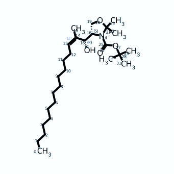 CCCCCCCCCCCCC/C=C(/C)[C@@H](O)[C@@H]1COC(C)(C)N1C(=O)OC(C)(C)C